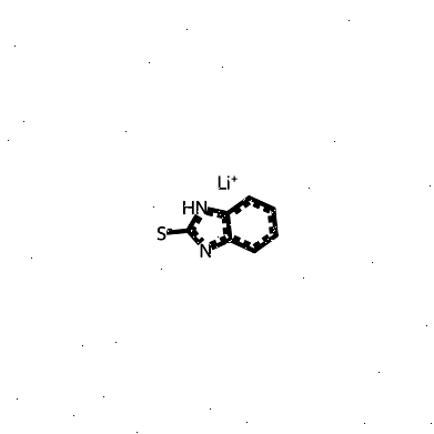 [Li+].[S-]c1nc2ccccc2[nH]1